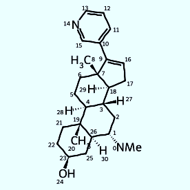 CN[C@H]1C[C@@H]2[C@H](CC[C@]3(C)C(c4cccnc4)=CC[C@@H]23)[C@@]2(C)CC[C@H](O)C[C@H]12